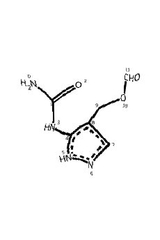 NC(=O)Nc1[nH]ncc1COC=O